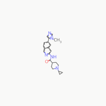 Cn1cncc1-c1ccc2cnc(NC(=O)C3CCN(C4CC4)CC3)cc2c1